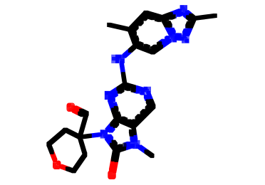 Cc1nc2cc(C)c(Nc3ncc4c(n3)n(C3(C=O)CCOCC3)c(=O)n4C)cn2n1